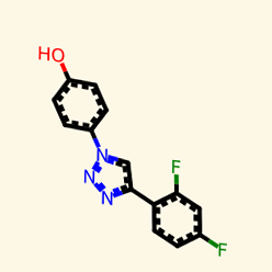 Oc1ccc(-n2cc(-c3ccc(F)cc3F)nn2)cc1